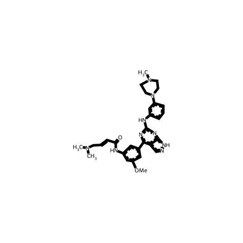 COc1cc(NC(=O)/C=C/CN(C)C)cc(-c2nc(Nc3cccc(N4CCN(C)CC4)c3)nc3[nH]ncc23)c1